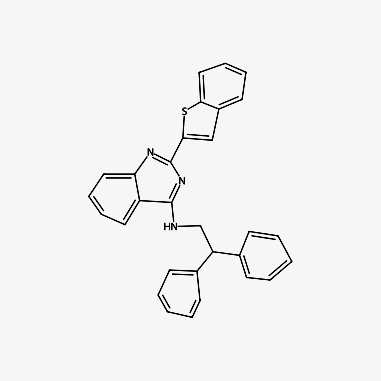 c1ccc(C(CNc2nc(-c3cc4ccccc4s3)nc3ccccc23)c2ccccc2)cc1